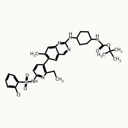 CCc1nc(NS(=O)(=O)c2ccccc2Cl)ccc1-c1cc2cnc(NC3CCC(NC(=O)OC(C)(C)C)CC3)nc2cc1C